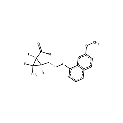 COc1ccc2ccnc(OC[C@H]3NC(=O)[C@H]4[C@@H]3C4(C)F)c2c1